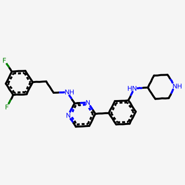 Fc1cc(F)cc(CCNc2nccc(-c3cccc(NC4CCNCC4)c3)n2)c1